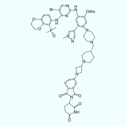 COc1cc(N2CCN(CC3CCN(C4CN(c5ccc6c(c5)C(=O)N(C5CCC(=O)NC5=O)C6=O)C4)CC3)CC2)c(-c2cnn(C)c2)cc1Nc1ncc(Br)c(Nc2ccc3c(c2P(C)(C)=O)OCCO3)n1